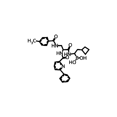 Cc1ccc(C(=O)NCC(NC(=O)c2cccc(-c3ccccc3)n2)C(=O)NC(CC2CCC2)B(O)O)cc1